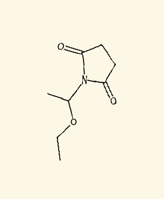 CCOC(C)N1C(=O)CCC1=O